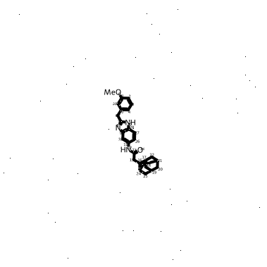 COc1cccc(Cc2nc3cc(NC(=O)CC4C5CC6CC(C5)CC4C6)ccc3[nH]2)c1